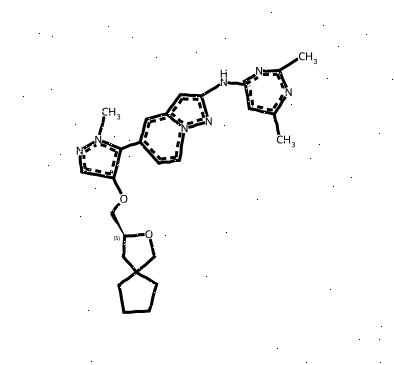 Cc1cc(Nc2cc3cc(-c4c(OC[C@@H]5CC6(CCCC6)CO5)cnn4C)ccn3n2)nc(C)n1